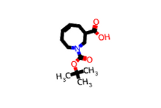 CC(C)(C)OC(=O)N1CCC=CCC(C(=O)O)C1